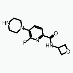 O=C(NC1COC1)c1ccc(N2CCNCC2)c(F)n1